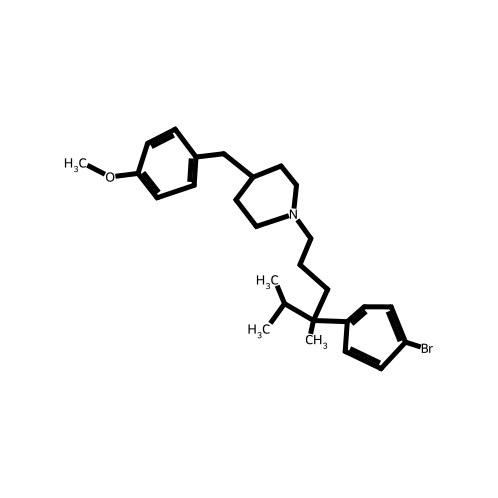 COc1ccc(CC2CCN(CCCC(C)(c3ccc(Br)cc3)C(C)C)CC2)cc1